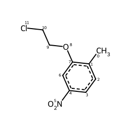 Cc1ccc([N+](=O)[O-])cc1OCCCl